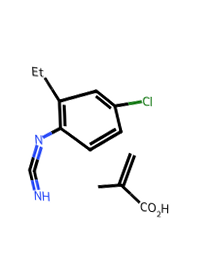 C=C(C)C(=O)O.CCc1cc(Cl)ccc1N=C=N